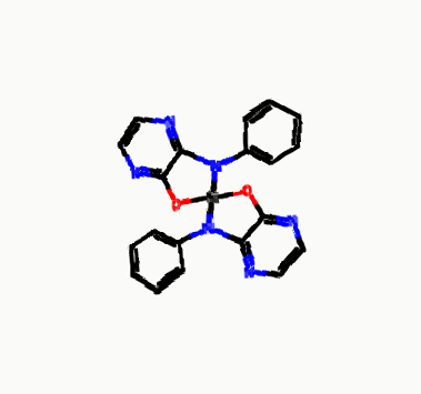 c1ccc(N2c3nccnc3O[Si]23Oc2nccnc2N3c2ccccc2)cc1